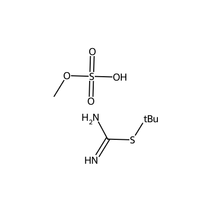 CC(C)(C)SC(=N)N.COS(=O)(=O)O